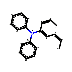 C\C=C/C=C(\C=C/C)N(c1ccccc1)c1ccccc1